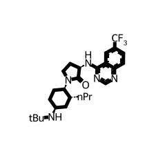 CCC[C@@H]1C[C@@H](NC(C)(C)C)CC[C@@H]1N1CC[C@H](Nc2ncnc3ccc(C(F)(F)F)cc23)C1=O